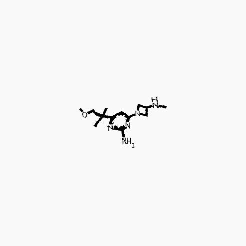 CNC1CN(c2cc(C(C)(C)COC)nc(N)n2)C1